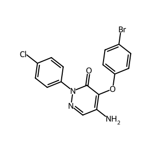 Nc1cnn(-c2ccc(Cl)cc2)c(=O)c1Oc1ccc(Br)cc1